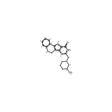 O=c1[nH]c(CN2CCCC(O)C2)nc2c3c(sc12)-c1ccccc1CC3